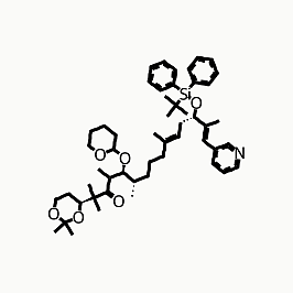 C/C(=C\C[C@H](O[Si](c1ccccc1)(c1ccccc1)C(C)(C)C)/C(C)=C/c1cccnc1)CCC[C@H](C)[C@H](OC1CCCCO1)C(C)C(=O)C(C)(C)[C@@H]1CCOC(C)(C)O1